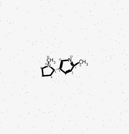 Cc1ccc([C@@H]2CCCN2C)cn1